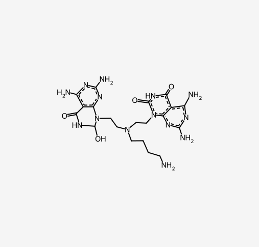 NCCCCN(CCN1c2nc(N)nc(N)c2C(=O)NC1O)CCn1c(=O)[nH]c(=O)c2c(N)nc(N)nc21